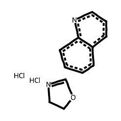 C1=NCCO1.Cl.Cl.c1ccc2ncccc2c1